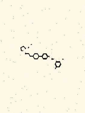 COC(=O)[C@@H]1CCCN1C(=O)CCC1CCC(c2ccc(NC(=O)Nc3cc(C)ccc3OC)cc2)CC1